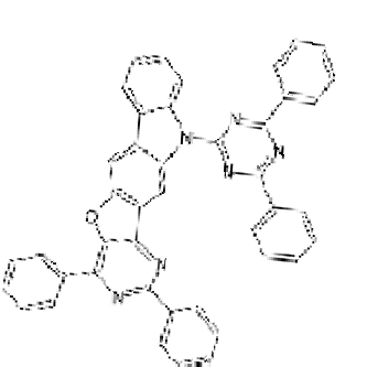 c1ccc(-c2nc(-c3ccccc3)nc(-n3c4ccccc4c4cc5oc6c(-c7ccccc7)nc(-c7ccccc7)nc6c5cc43)n2)cc1